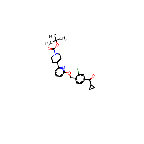 CC(C)(C)OC(=O)N1CC=C(c2cccc(OCc3ccc(C(=O)C4CC4)cc3F)n2)CC1